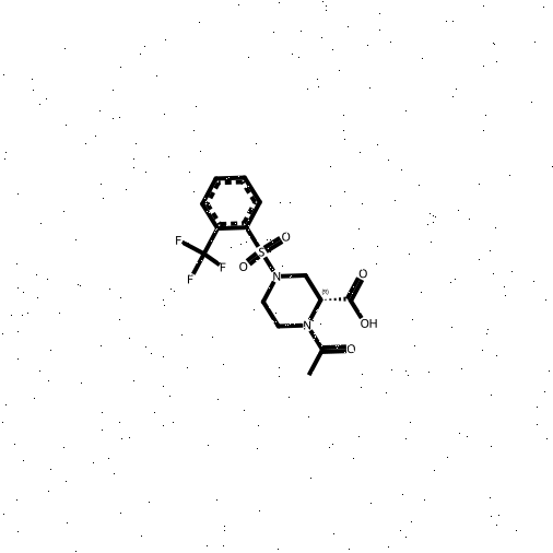 CC(=O)N1CCN(S(=O)(=O)c2ccccc2C(F)(F)F)C[C@@H]1C(=O)O